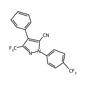 N#Cc1c(-c2ccccc2)c(C(F)(F)F)nn1-c1ccc(C(F)(F)F)cc1